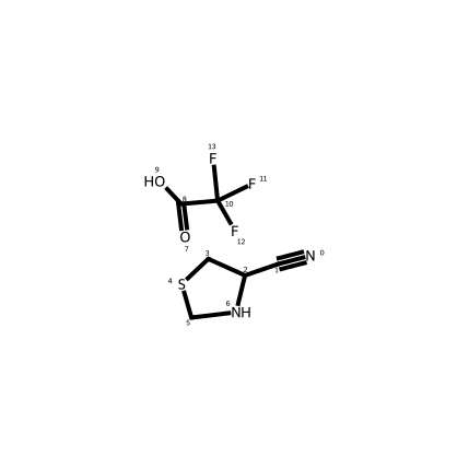 N#CC1CSCN1.O=C(O)C(F)(F)F